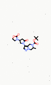 CC1Cn2ncc(N3CC(N4CCOC4=O)CC3=O)c2CN1C(=O)OC(C)(C)C